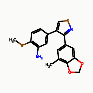 CSc1ccc(-c2csnc2-c2cc(C)c3c(c2)OCO3)cc1N